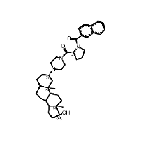 C[C@]12C[C@H](N3CCN(C(=O)[C@@H]4CCCN4C(=O)c4ccc5ccccc5c4)CC3)CCC1CCC1C2CC[C@@]2(C)C1CC[C@]2(C)O